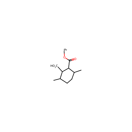 CC(C)OC(=O)C1C(C)CCC(C)C1C(=O)O